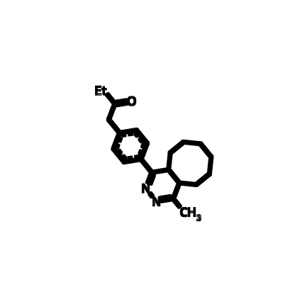 CCC(=O)Cc1ccc(C2=NN=C(C)C3CCCCCCC23)cc1